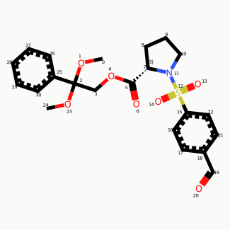 COC(COC(=O)[C@@H]1CCCN1S(=O)(=O)c1ccc(C=O)cc1)(OC)c1ccccc1